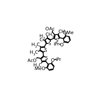 COc1cccc(OC(C)C)c1-c1sc(-c2sc(-c3sc(-c4sc(-c5c(OC)cccc5OC(C)C)c(C)c4COC(C)=O)c(C)c3C)c(C)c2C)c(COC(C)=O)c1C